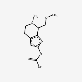 COCC1c2sc(OC(=O)O)cc2CCN1C